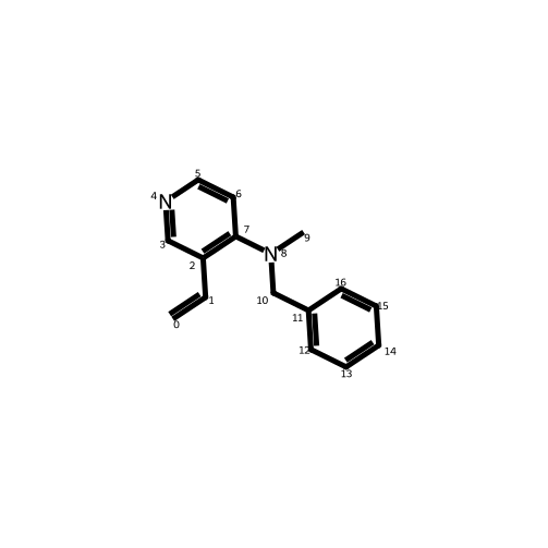 C=Cc1cnccc1N(C)Cc1ccccc1